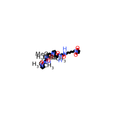 CCC(C)C(C(CC(=O)N1CCCC1C(OC)C(C)C(=O)NCC(=O)NCCCCCCN1C(=O)C=CC1=O)OC)N(C)C(=O)CNC(=O)[C@@]1(C)CCCN1C